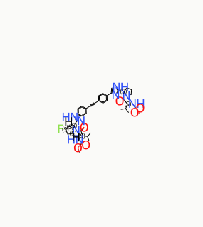 COC(=O)N[C@H](C(=O)N1[C@H]2C[C@@H]([C@H]1c1nc3cc(C#Cc4ccc(-c5c[nH]c([C@@H]6CCCN6C(=O)[C@@H](NC6OCO6)C(C)C)n5)cc4)ccc3[nH]1)[C@@H](F)C2)C(C)C